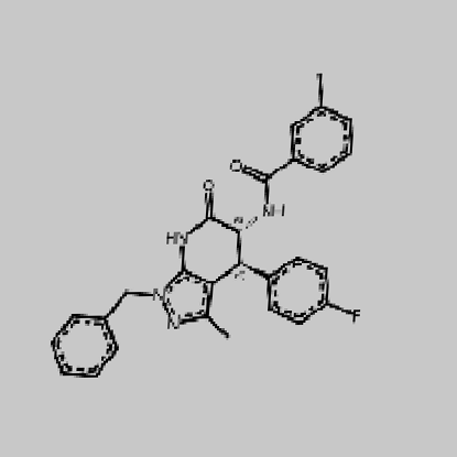 Cc1cccc(C(=O)N[C@H]2C(=O)Nc3c(c(C)nn3Cc3ccccc3)[C@@H]2c2ccc(F)cc2)c1